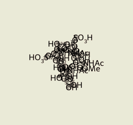 CO[C@H]1OC(COS(=O)(=O)O)[C@@H](O[C@H]2C[C@H](O)[C@@H](O[C@@H]3OC(COS(=O)(=O)O)[C@@H](O[C@H]4C[C@H](O)[C@@H](O[C@@H]5OC(COS(=O)(=O)O)[C@@H](O[C@H]6C[C@H](O)[C@@H](O[C@@H]7OC(CO)[C@@H](O[C@H]8C[C@H](O)[C@H](O)CO8)[C@H](O)C7NC(C)=O)CO6)[C@H](O)C5NC(C)=O)CO4)[C@H](O)C3NC(C)=O)CO2)[C@H](O)C1NC(C)=O